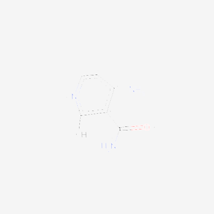 Cc1ncccc1C(N)=O.N